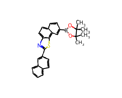 CC1(C)OB(c2ccc3ccc4nc(-c5ccc6ccccc6c5)sc4c3c2)OC1(C)C